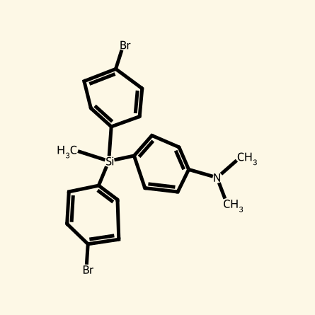 CN(C)c1ccc([Si](C)(c2ccc(Br)cc2)c2ccc(Br)cc2)cc1